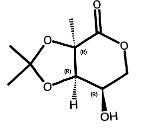 CC1(C)O[C@@H]2[C@H](O)COC(=O)[C@]2(C)O1